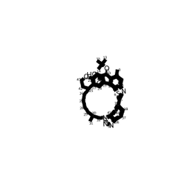 Cc1cc2nc3sc2c(c1[C@H](OC(C)(C)C)C(=O)O)-c1ccc2c(c1)C(CCCCC(C)Cn1nnc4ccc-3cc41)CCO2